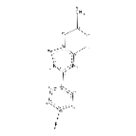 CC1CCc2nc(-c3ccc(F)cc3)ncc2C1